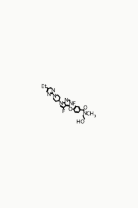 CCc1cnc(N2CCC(n3cc(F)c4c(Oc5ccc(C(=O)N(C)CCO)cc5F)ncnc43)CC2)nc1